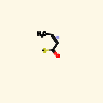 C/C=C\C(=O)[S]